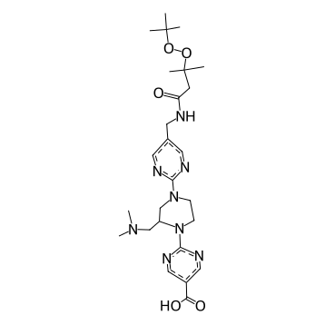 CN(C)CC1CN(c2ncc(CNC(=O)CC(C)(C)OOC(C)(C)C)cn2)CCN1c1ncc(C(=O)O)cn1